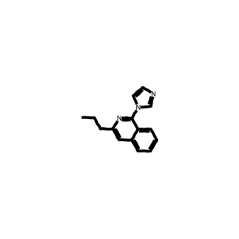 CCCc1cc2ccccc2c(-n2ccnc2)n1